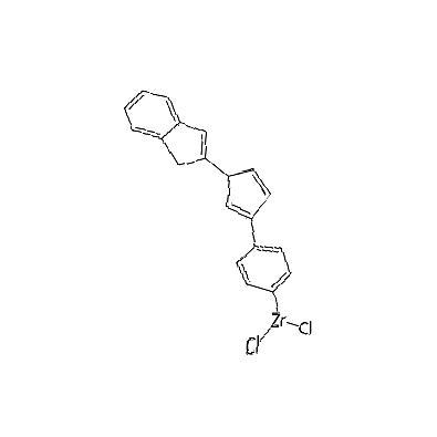 [Cl][Zr]([Cl])[c]1ccc(C2=CC(C3=Cc4ccccc4C3)C=C2)cc1